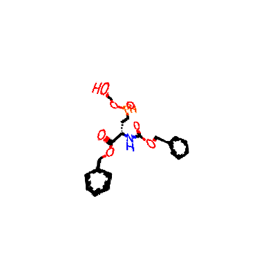 O=C(N[C@@H](CC[PH](=O)OCO)C(=O)OCc1ccccc1)OCc1ccccc1